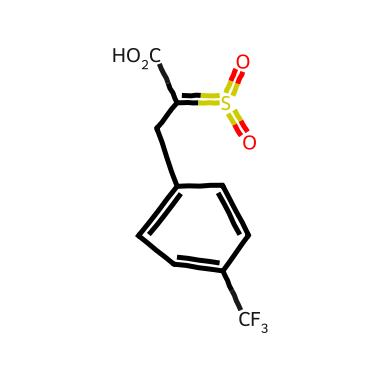 O=C(O)C(Cc1ccc(C(F)(F)F)cc1)=S(=O)=O